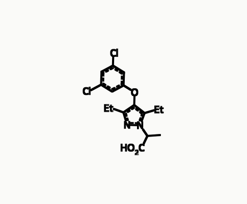 CCc1nn(C(C)C(=O)O)c(CC)c1Oc1cc(Cl)cc(Cl)c1